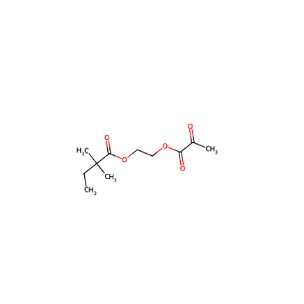 CCC(C)(C)C(=O)OCCOC(=O)C(C)=O